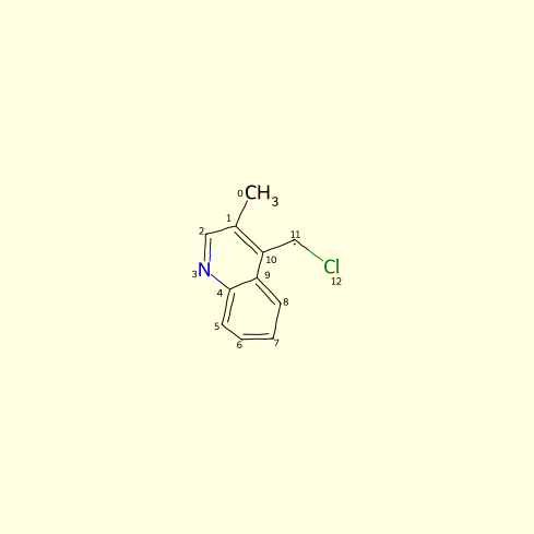 Cc1cnc2ccccc2c1[CH]Cl